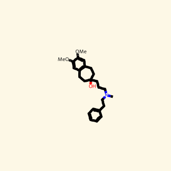 COc1cc2c(cc1OC)CCC(O)(CCCN(C)CCc1ccccc1)CC2